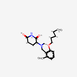 CN(Cc1c(C=O)cccc1OCCCCC=O)C1CCC(=O)NC1=O